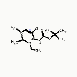 CCOC(C)N(C)/C=C(/Cl)NNC(=O)OC(C)(C)C